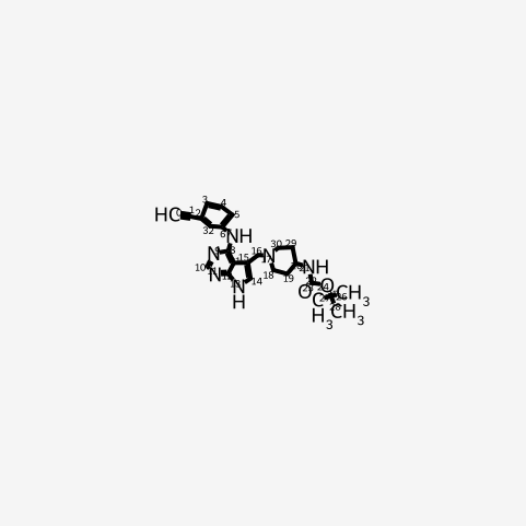 C#Cc1cccc(Nc2ncnc3[nH]cc(CN4CCC(NC(=O)OC(C)(C)C)CC4)c23)c1